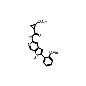 COc1ccccc1-c1cc2cc(NC(=O)C3CC3C(=O)O)ncc2n1C